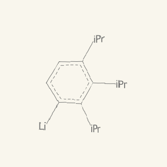 [Li][c]1ccc(C(C)C)c(C(C)C)c1C(C)C